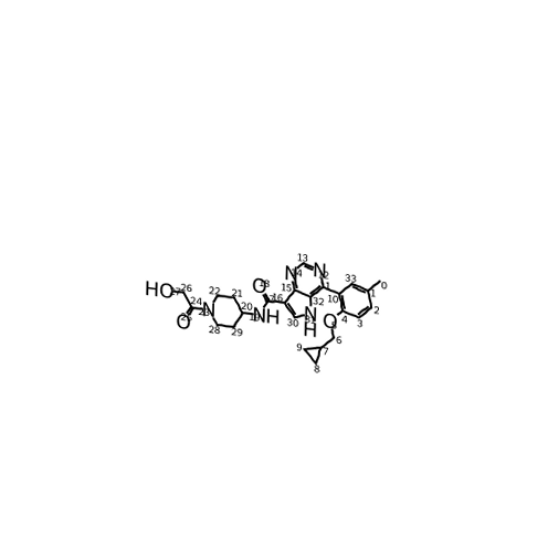 Cc1ccc(OCC2CC2)c(-c2ncnc3c(C(=O)NC4CCN(C(=O)CO)CC4)c[nH]c23)c1